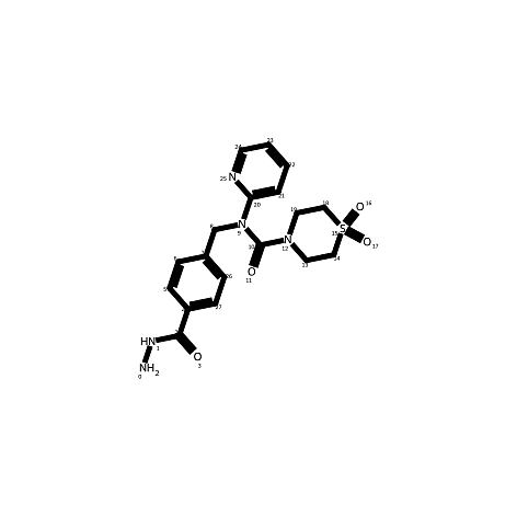 NNC(=O)c1ccc(CN(C(=O)N2CCS(=O)(=O)CC2)c2ccccn2)cc1